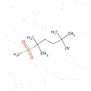 CC(C)(C#N)CCC(C)(C)S(C)(=O)=O